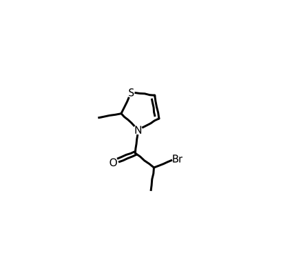 CC(Br)C(=O)N1C=CSC1C